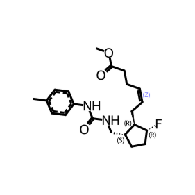 COC(=O)CC/C=C\C[C@@H]1[C@@H](CNC(=O)Nc2ccc(C)cc2)CC[C@H]1F